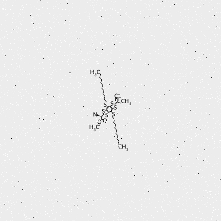 [C-]#[N+]C(CC)=C1Sc2c(SCCCCCCCCCCCC)c3c(c(SCCCCCCCCCCCC)c2S1)SC(=C(C#N)C(=O)OCC)S3